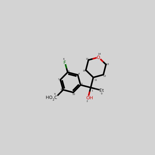 CCC(O)(c1cc(F)cc(C(=O)O)c1)C1CCOCC1